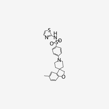 Cc1ccc2c(c1)C1(CCN(c3ccc(S(=O)(=O)Nc4nccs4)cc3)CC1)CO2